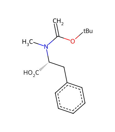 C=C(OC(C)(C)C)N(C)[C@H](Cc1ccccc1)C(=O)O